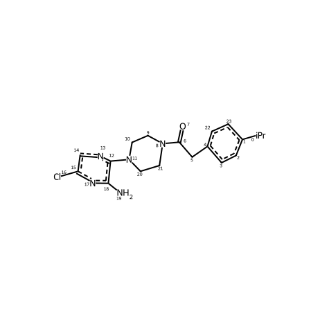 CC(C)c1ccc(CC(=O)N2CCN(c3ncc(Cl)nc3N)CC2)cc1